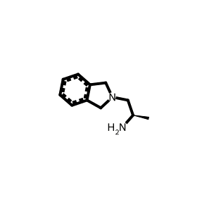 C[C@@H](N)CN1Cc2ccccc2C1